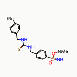 CNOS(=N)(=O)c1ccc(CNC(=S)NCc2ccc(C(C)(C)C)cc2)cc1